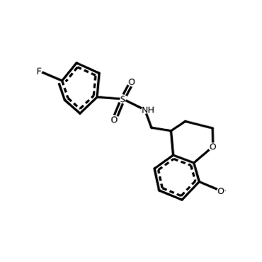 [O]c1cccc2c1OCCC2CNS(=O)(=O)c1ccc(F)cc1